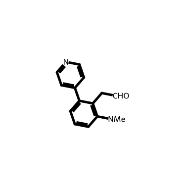 CNc1cccc(-c2ccncc2)c1CC=O